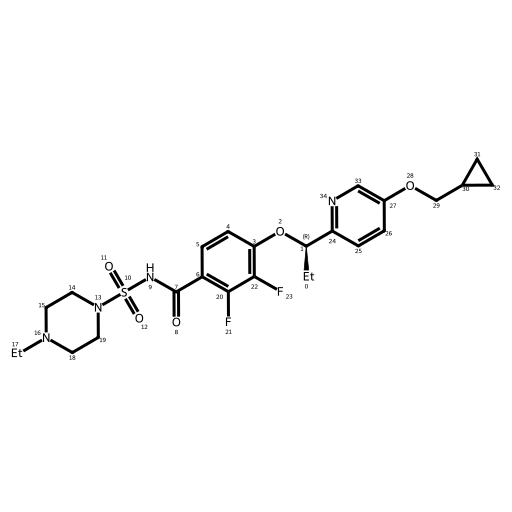 CC[C@@H](Oc1ccc(C(=O)NS(=O)(=O)N2CCN(CC)CC2)c(F)c1F)c1ccc(OCC2CC2)cn1